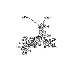 CCCCCCCCCCCCC/C=C/[C@@H](O)[C@H](CO[C@@H]1OC(CO)[C@@H](O[C@@H]2OC(CO)[C@H](O[C@@H]3OC(CO)[C@H](O)[C@H](O[C@@H]4OC(CO)[C@H](O[C@@H]5OC(CO)[C@H](O)[C@H](O)C5NC(C)=O)[C@H](O[C@]5(C(=O)O)CC(O)[C@@H](NC(=O)CO)C([C@H](O)[C@H](O)CO)O5)C4O)C3NC(C)=O)[C@H](O[C@]3(C(=O)O)CC(O)[C@@H](NC(C)=O)C([C@H](O)[C@H](O)CO)O3)C2O)[C@H](O)C1O)NC(=O)CCCCCCCCCCCCCCCCCCC